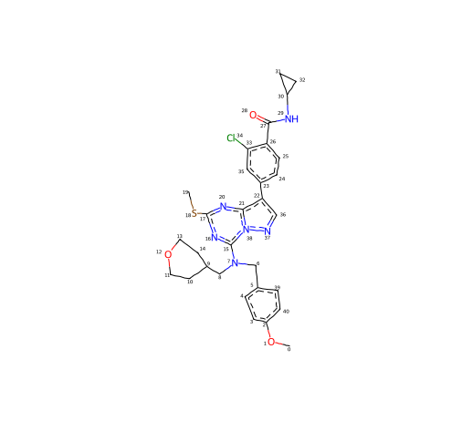 COc1ccc(CN(CC2CCOCC2)c2nc(SC)nc3c(-c4ccc(C(=O)NC5CC5)c(Cl)c4)cnn23)cc1